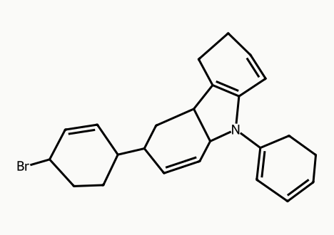 BrC1C=CC(C2C=CC3C(C2)C2=C(C=CCC2)N3C2=CC=CCC2)CC1